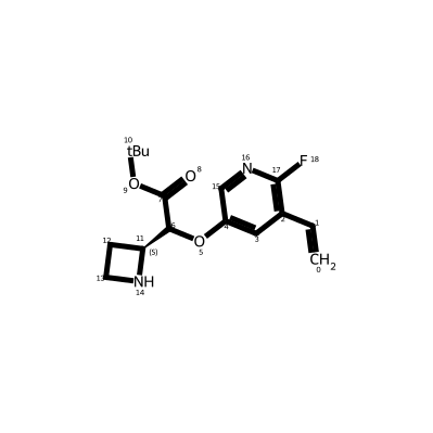 C=Cc1cc(OC(C(=O)OC(C)(C)C)[C@@H]2CCN2)cnc1F